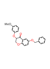 COc1cccc(OC2COc3ccc(OCc4ccccc4)cc3C2=O)c1